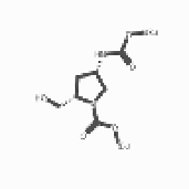 CC(C)(C)OC(=O)N[C@H]1C[C@@H](CO)N(C(=O)OC(C)(C)C)C1